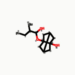 CC(C)CC(C(O)OC12CC3CC1(O)CC3C2)C(C)(C)C